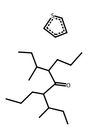 CCCC(C(=O)C(CCC)C(C)CC)C(C)CC.c1ccsc1